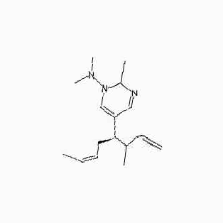 C=CC(C)[C@@H](C/C=C\C)C1=CN(N(C)C)C(C)N=C1